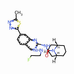 Cc1nnc(-c2ccc3cnc(NC(=O)N4[C@@H]5CCC[C@H]4C[C@@H](NCCF)C5)nc3c2)s1